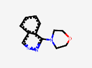 c1ccc2c(N3CCOCC3)nncc2c1